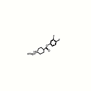 CCCCCCC[SiH]1CCC(C(=O)Oc2ccc(F)c(F)c2)CC1